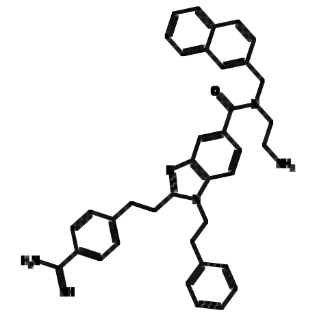 N=C(N)c1ccc(CCc2nc3cc(C(=O)N(CCN)Cc4ccc5ccccc5c4)ccc3n2CCc2ccccc2)cc1